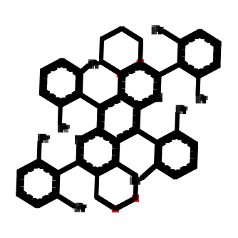 CC(C)c1cccc(C(C)C)c1-c1nc2c(-c3c(C(C)C)cccc3C(C)C)c3c4c(c(-c5c(C(C)C)cccc5C(C)C)nc3c(-c3c(C(C)C)cccc3C(C)C)c2c2c1C1CCC2CC1)C1CCC4CC1